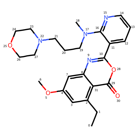 CCc1cc(OC)cc2nc(-c3cccnc3N(C)CCCN3CCOCC3)oc(=O)c12